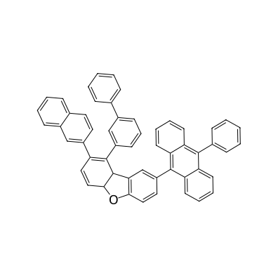 C1=CC2Oc3ccc(-c4c5ccccc5c(-c5ccccc5)c5ccccc45)cc3C2C(c2cccc(-c3ccccc3)c2)=C1c1ccc2ccccc2c1